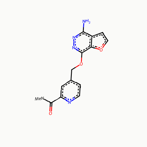 CNC(=O)c1cc(COc2nnc(N)c3ccoc23)ccn1